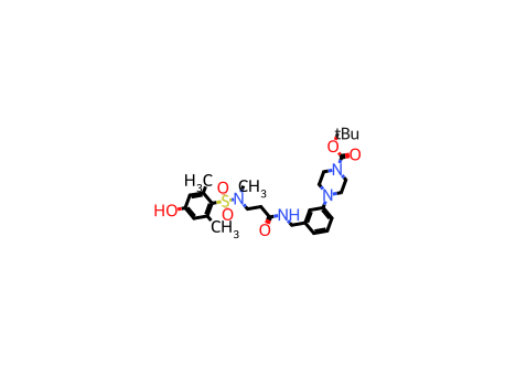 Cc1cc(O)cc(C)c1S(=O)(=O)N(C)CCC(=O)NCc1cccc(N2CCN(C(=O)OC(C)(C)C)CC2)c1